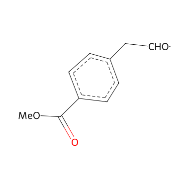 COC(=O)c1ccc(C[C]=O)cc1